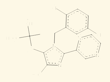 Cc1nc(-c2cnccn2)n(Cc2cc(Cl)ccc2Cl)c1SC(C)(C)C(=O)O